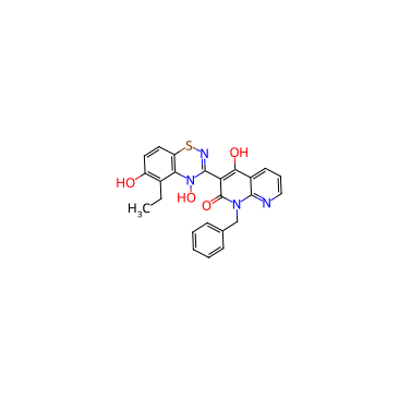 CCc1c(O)ccc2c1N(O)C(c1c(O)c3cccnc3n(Cc3ccccc3)c1=O)=NS2